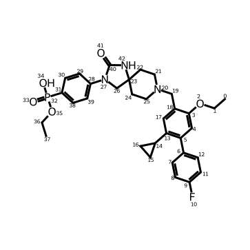 CCOc1cc(-c2ccc(F)cc2)c(C2CC2)cc1CN1CCC2(CC1)CN(c1ccc(P(=O)(O)OCC)cc1)C(=O)N2